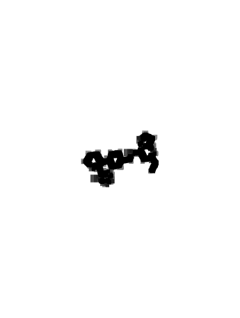 CCc1cc(NCc2ccc(-c3cccnc3-c3nnn[nH]3)cc2)n2nccc2n1